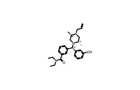 C=CCN1C[C@H](C)N([C@@H](c2cccc(O)c2)c2cccc(C(=O)N(CC)CC)c2)C[C@H]1C